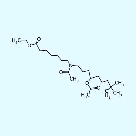 CCOC(=O)CCCCCCN(CCCC(CCCC(C)(C)C)OC(C)=O)C(C)=O